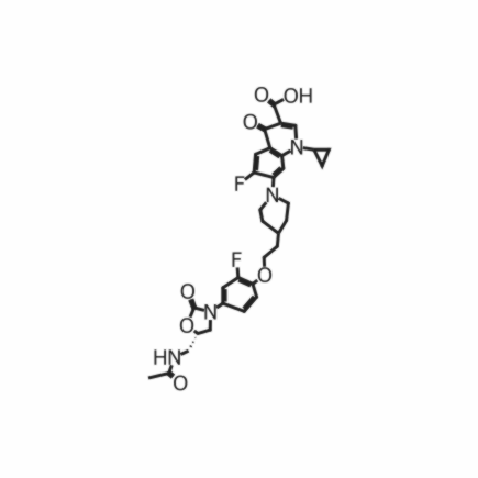 CC(=O)NC[C@H]1CN(c2ccc(OCCC3CCN(c4cc5c(cc4F)c(=O)c(C(=O)O)cn5C4CC4)CC3)c(F)c2)C(=O)O1